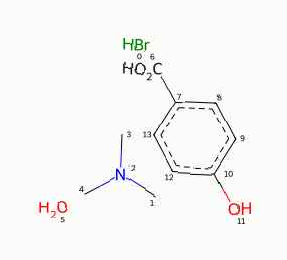 Br.CN(C)C.O.O=C(O)c1ccc(O)cc1